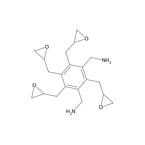 NCc1c(CC2CO2)c(CN)c(CC2CO2)c(CC2CO2)c1CC1CO1